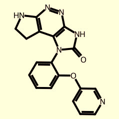 O=c1[nH]c2nnc3c(c2n1-c1ccccc1Oc1cccnc1)CCN3